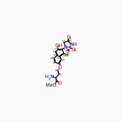 COC(=O)[C@@H](N)CCOc1ccc2cc(O)c(N3CC(=O)NS3(=O)=O)c(F)c2c1